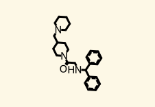 O=C(CNC(c1ccccc1)c1ccccc1)N1CCC(CN2CCCCC2)CC1